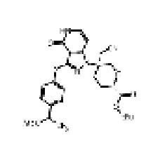 CO[C@@H](c1ccc(Nc2nn([C@]3(CC#N)CC[C@@H](C(=O)OC(C)(C)C)OC3)c3cc[nH]c(=O)c23)cc1)C(F)(F)F